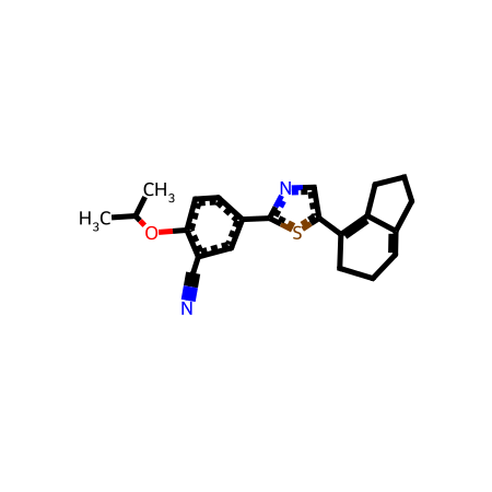 CC(C)Oc1ccc(-c2ncc(C3=C4CCCC4=CCC3)s2)cc1C#N